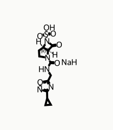 O=C(NCc1nc(C2CC2)no1)N1CC[C@@H]2[C@H]1C(=O)N2S(=O)(=O)O.[NaH]